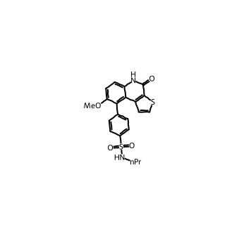 CCCNS(=O)(=O)c1ccc(-c2c(OC)ccc3[nH]c(=O)c4sccc4c23)cc1